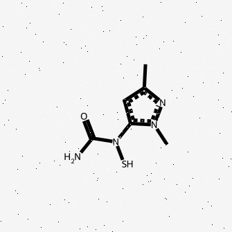 Cc1cc(N(S)C(N)=O)n(C)n1